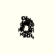 CCCCNC(=O)[C@H]1[C@@H]2[C@@H](CC(C)C)N2C(=O)[C@H](Cc2ccccc2)NC(=O)CNC(=O)[C@H](CC(C)C)NC(=O)CNC(=O)[C@@H]2CCCN21